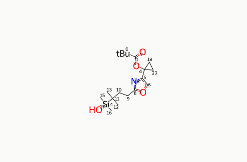 CC(C)(C)C(=O)OC1(c2coc(CCC(C)(C)[Si](C)(C)O)n2)CC1